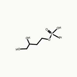 CC(C)P(=O)(O)OCCC(O)CO